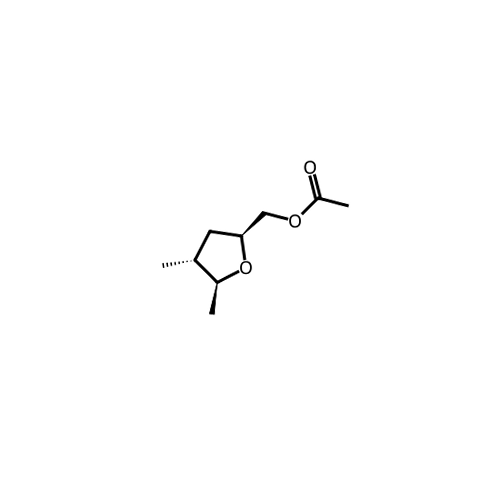 CC(=O)OC[C@@H]1C[C@@H](C)[C@H](C)O1